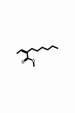 CC=C(CCCCCC)C(=O)OC